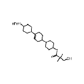 CCCCCC1CCC(C2=CCC(C3CCC(OC(=O)C(C)(C)CO)CC3)CC2)CC1